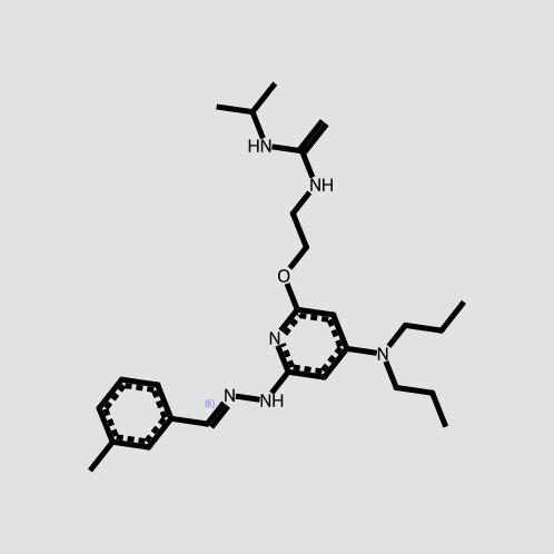 C=C(NCCOc1cc(N(CCC)CCC)cc(N/N=C/c2cccc(C)c2)n1)NC(C)C